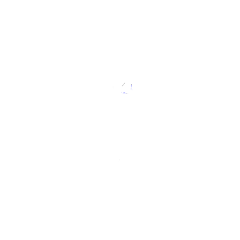 CCCCCCCCCCCCOc1nc(C)cc(O)n1